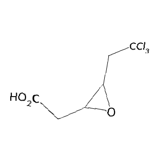 O=C(O)CC1OC1CC(Cl)(Cl)Cl